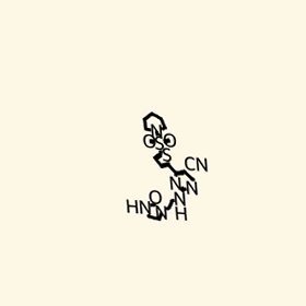 N#Cc1cnc(NCCN2CCNC2=O)nc1-c1ccc(S(=O)(=O)N2CCCCC2)s1